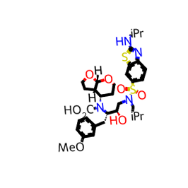 COc1cccc(C[C@@H]([C@H](O)CN(CC(C)C)S(=O)(=O)c2ccc3nc(NC(C)C)sc3c2)N(C(=O)O)[C@H]2CCO[C@H]3OCC[C@H]32)c1